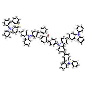 c1ccc(-n2c3ccccc3c3cc(-c4ccc5c(c4)c4cc(-c6ccc7c(c6)c6ccccc6n7-c6ccccc6)ccc4n5-c4ccc(-c5cccc6c5oc5cccc(-c7ccc(-n8c9ccccc9c9cc(-c%10cc%11c%12ccccc%12n(-c%12ccccc%12)c%11c%11c%10sc%10ccccc%10%11)ccc98)cc7)c56)cc4)ccc32)cc1